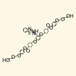 O=C(Oc1ccc(OCCOCCO)cc1)C1CCC(COc2ccc(OCC3CCC(C(=O)Oc4ccc(OCCOCCO)cc4)CC3)c(/C=N/Nc3nc4ccccc4s3)c2)CC1